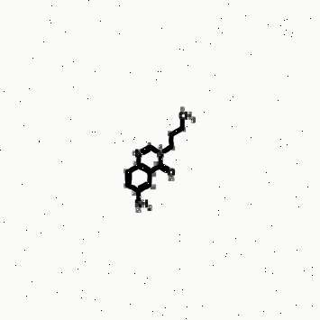 CCCCn1cnc2ccc(N)cc2c1=O